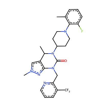 Cc1cccc(F)c1N1CCC(N2C(=O)N(Cc3ncccc3C(F)(F)F)c3nn(C)cc3C2C)CC1